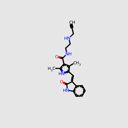 C#CCNCCNC(=O)c1c(C)[nH]c(/C=C2\C(=O)Nc3ccccc32)c1C